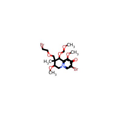 COCOC1c2c(OC)c(=O)c(Br)cn2CC(OC)C1(C)COCCBr